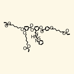 C=CC(=O)OCCCCCCOc1ccc(C(=O)Oc2ccc(OC(=O)c3ccc(OCCCCCCOC(=O)C=C)c(OCCCCCCOC(=O)C=C)c3)c(/C=N/Nc3nc4ccccc4s3)c2)cc1